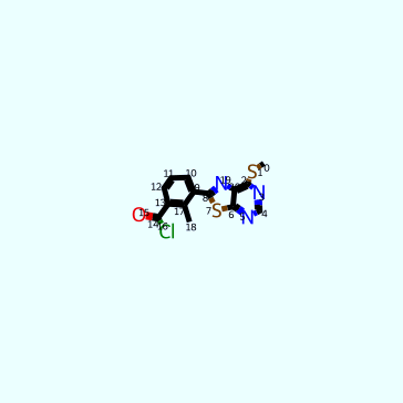 CSc1ncnc2sc(-c3cccc(C(=O)Cl)c3C)nc12